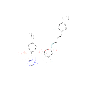 C[C@@H](SC1COC(C=CC=Cc2ccc(C#N)cc2F)OC1)[C@@](Cn1cncn1)(OC(=O)c1ccccc1COP(=O)([O-])[O-])c1ccc(F)cc1F.[Na+].[Na+]